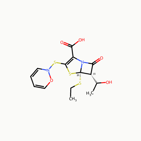 CCS[C@]12SC(SN3C=CC=CO3)=C(C(=O)O)N1C(=O)[C@@H]2C(C)O